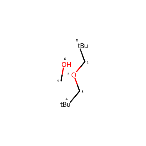 CC(C)(C)COCC(C)(C)C.CO